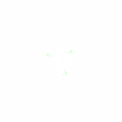 Cc1c(Cl)cc(Cl)c(C)c1Cl